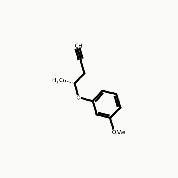 C#CC[C@@H](C)Oc1cccc(OC)c1